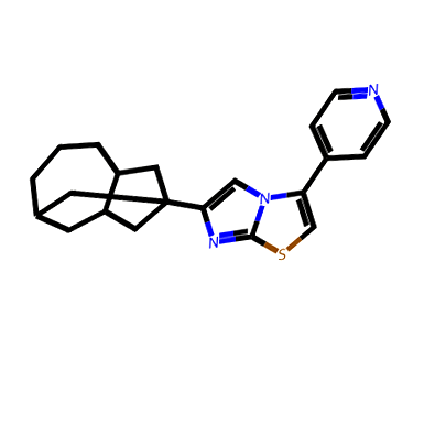 c1cc(-c2csc3nc(C45CC6CCCC(C4)C(C6)C5)cn23)ccn1